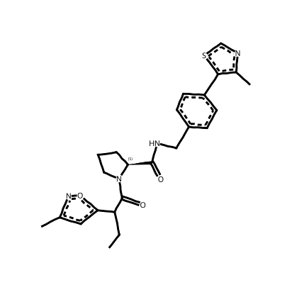 CCC(C(=O)N1CCC[C@H]1C(=O)NCc1ccc(-c2scnc2C)cc1)c1cc(C)no1